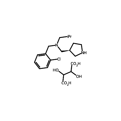 CC(C)CN(Cc1ccccc1Cl)C[C@H]1CCNC1.O=C(O)C(O)C(O)C(=O)O